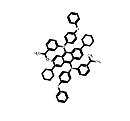 CC(C)c1cccc(N(c2ccc(Oc3ccccc3)cc2)c2c3ccc(C4CCCCC4)cc3c(N(c3ccc(Oc4ccccc4)cc3)c3cccc(C(C)C)c3)c3ccc(C4CCCCC4)cc23)c1